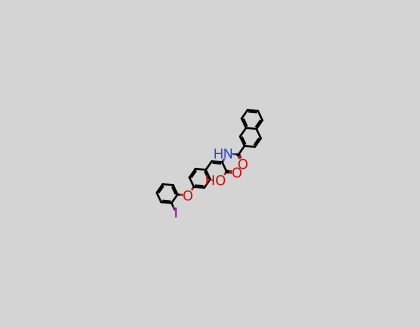 O=C(O)C(=Cc1ccc(Oc2ccccc2I)cc1)NC(=O)c1ccc2ccccc2c1